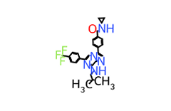 CC(C)CNc1nc(-c2ccc(C(F)(F)F)cc2)cn2c(-c3ccc(C(=O)NC4CC4)cc3)cnc12